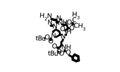 CC(C)(C)OC(=O)C(CCN(C[C@H]1O[C@@H](n2cnc3c(N)ncnc32)[C@@H]2OC(C)(C)O[C@@H]21)C1CCCN(C(=O)OC(C)(C)C)C1)NC(=O)OCc1ccccc1